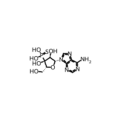 Nc1ncnc2c1ncn2[C@@H]1O[C@H](CO)[C@](O)(P(O)(O)=S)[C@H]1O